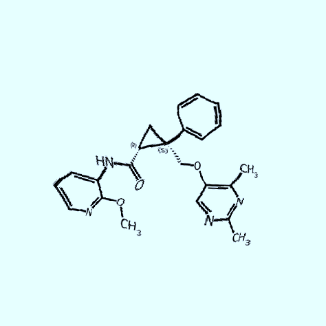 COc1ncccc1NC(=O)[C@@H]1C[C@@]1(COc1cnc(C)nc1C)c1ccccc1